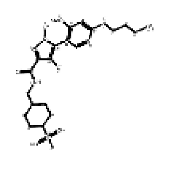 CCn1nc(C(=O)NCC2CCC(S(C)(=O)=O)CC2)c(Cl)c1-c1cnc(NCCCC(F)(F)F)cc1OC